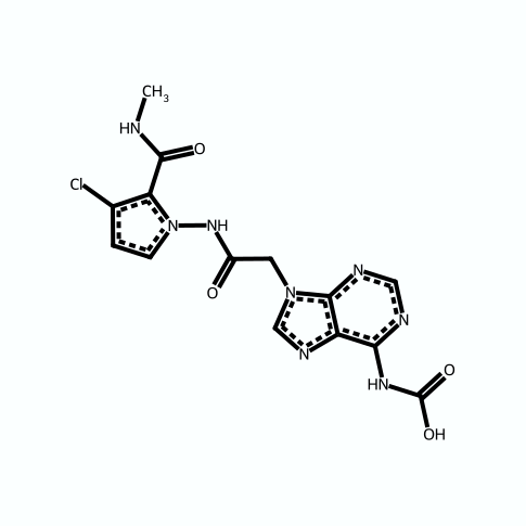 CNC(=O)c1c(Cl)ccn1NC(=O)Cn1cnc2c(NC(=O)O)ncnc21